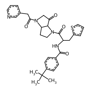 CC(C)(C)c1ccc(C(=O)NC(Cc2cccs2)C(=O)N2CCC3C2C(=O)CN3C(=O)Cc2cccnc2)cc1